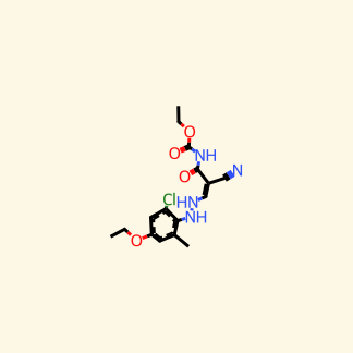 CCOC(=O)NC(=O)C(C#N)=CNNc1c(C)cc(OCC)cc1Cl